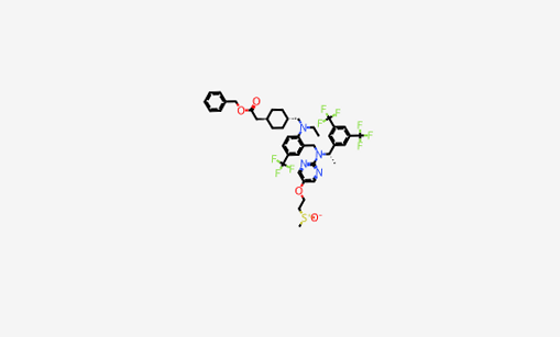 CCN(C[C@H]1CC[C@H](CC(=O)OCc2ccccc2)CC1)c1ccc(C(F)(F)F)cc1CN(c1ncc(OCC[S+](C)[O-])cn1)[C@@H](C)c1cc(C(F)(F)F)cc(C(F)(F)F)c1